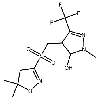 CN1N=C(C(F)(F)F)C(CS(=O)(=O)C2=NOC(C)(C)C2)C1O